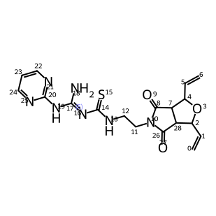 C=CC1OC(C=C)C2C(=O)N(CCNC(=S)/N=C(\N)Nc3ncccn3)C(=O)C12